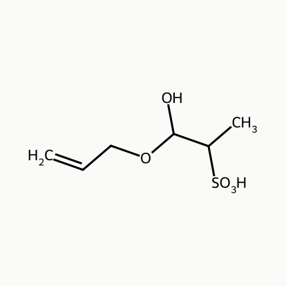 C=CCOC(O)C(C)S(=O)(=O)O